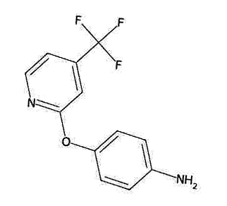 Nc1ccc(Oc2cc(C(F)(F)F)ccn2)cc1